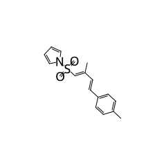 CC(=CS(=O)(=O)n1cccc1)/C=C/c1ccc(C)cc1